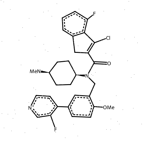 CN[C@H]1CC[C@@H](N(Cc2cc(-c3ccncc3F)ccc2OC)C(=O)C2=C(Cl)c3c(F)cccc3C2)CC1